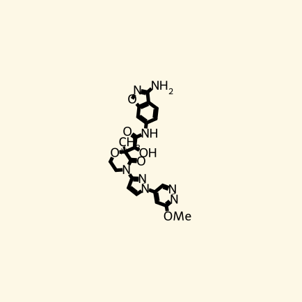 COc1cc(-n2ccc(N3CCO[C@](C)(C(O)C(=O)Nc4ccc5c(N)noc5c4)C3=O)n2)cnn1